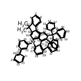 CC1(C)c2ccccc2-c2ccc(N(c3cccc(-c4ccccc4)c3)c3cccc(-c4ccccc4)c3-c3cccc4c3-c3ccccc3C4(c3ccccc3)c3ccccc3)cc21